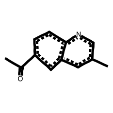 CC(=O)c1ccc2ncc(C)cc2c1